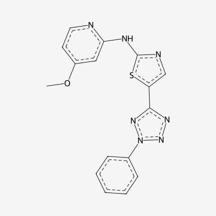 COc1ccnc(Nc2ncc(-c3nnn(-c4ccccc4)n3)s2)c1